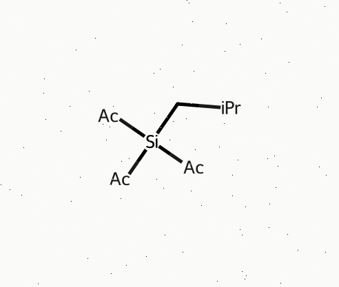 CC(=O)[Si](CC(C)C)(C(C)=O)C(C)=O